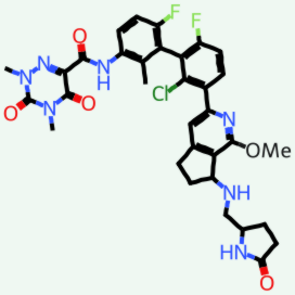 COc1nc(-c2ccc(F)c(-c3c(F)ccc(NC(=O)c4nn(C)c(=O)n(C)c4=O)c3C)c2Cl)cc2c1C(NCC1CCC(=O)N1)CC2